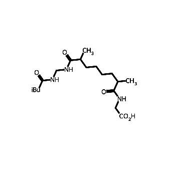 CCC(C)C(=O)NCNC(=O)C(C)CCCCC(C)C(=O)NCC(=O)O